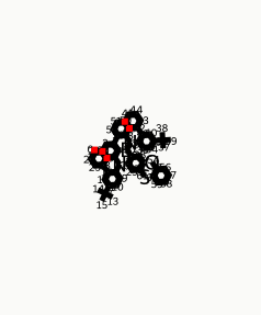 Cc1cc2c3c(c1)N(c1ccc(C(C)(C)C)cc1-c1ccccc1)c1cc4c(cc1B3N(c1ccc(C(C)(C)C)cc1-c1ccccc1)c1ccccc1-2)Oc1ccccc1S4